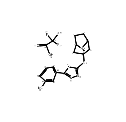 CN1C2CCC1CC(Oc1nnc(-c3cccc(C#N)c3)s1)C2.O=C(O)C(F)(F)F